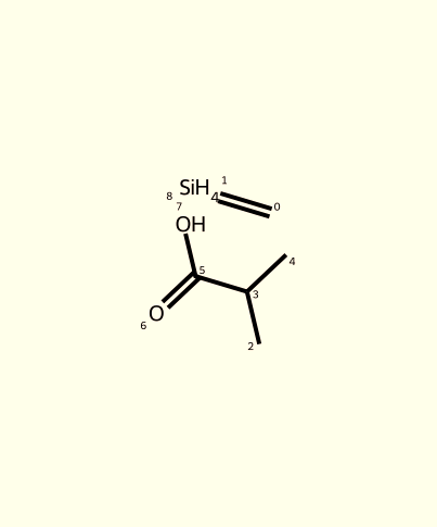 C=C.CC(C)C(=O)O.[SiH4]